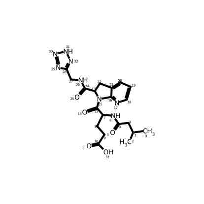 CC(C)CC(=O)NC(CCC(=O)O)C(=O)N1c2ncccc2CC1C(=O)NCc1nn[nH]n1